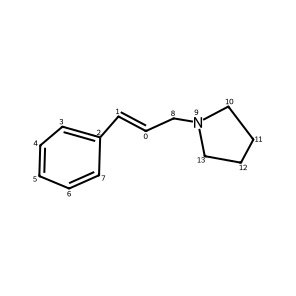 C(=Cc1ccccc1)CN1CCCC1